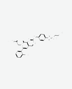 Cc1ccccc1-c1cc2cnc(Nc3ccc(S(=O)(=O)NCCO)cc3)nc2c(=O)n1CC(N)=O